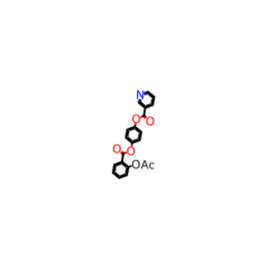 CC(=O)Oc1ccccc1C(=O)Oc1ccc(OC(=O)c2cccnc2)cc1